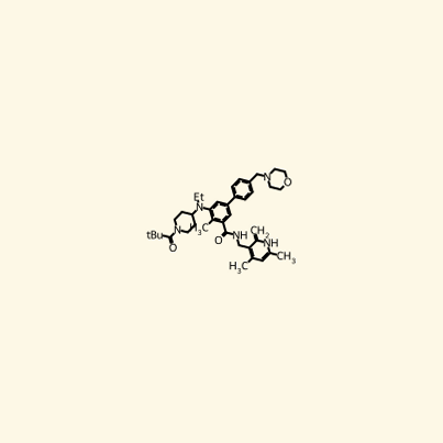 C=C1NC(C)=CC(C)=C1CNC(=O)c1cc(-c2ccc(CN3CCOCC3)cc2)cc(N(CC)C2CCN(C(=O)C(C)(C)C)CC2)c1C